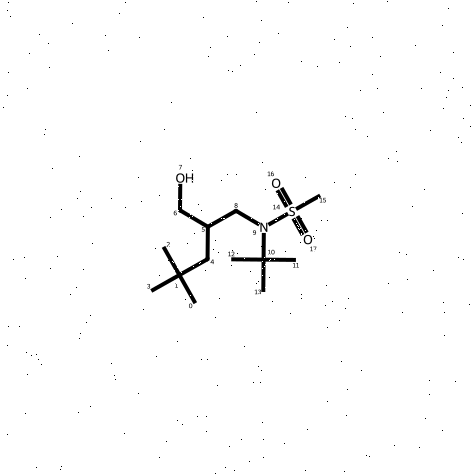 CC(C)(C)CC(CO)CN(C(C)(C)C)S(C)(=O)=O